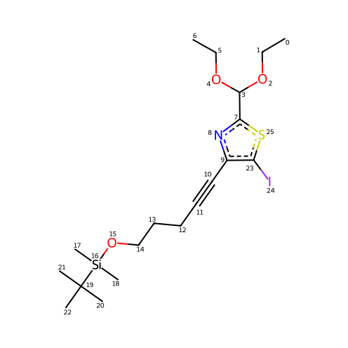 CCOC(OCC)c1nc(C#CCCCO[Si](C)(C)C(C)(C)C)c(I)s1